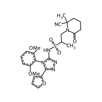 COc1cccc(OC)c1-n1c(NS(=O)(=O)C(C)CN2C(=O)CCCC2(C)C#N)nnc1-c1ccco1